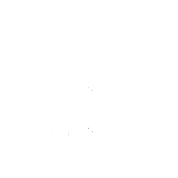 CCOC(=O)c1cc(Cl)cc2[nH]c(C(=O)c3ccc4ccccc4c3)c(N)c12